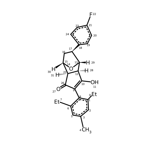 CCc1cc(C)cc(CC)c1C1=C(O)[C@@H]2[C@@H]3O[C@@H](C[C@H]3c3ccc(F)cc3)[C@@H]2C1=O